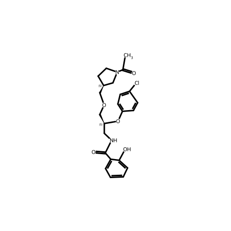 CC(=O)N1CC[C@H](COC[C@H](CNC(=O)c2ccccc2O)Oc2ccc(Cl)cc2)C1